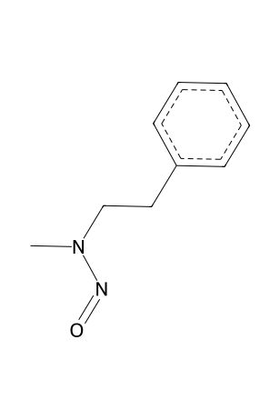 CN(CCc1ccccc1)N=O